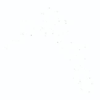 CC=CN1CCCC(n2nc(C(=O)Nc3ccc(Oc4ccn5ncnc5c4)c(Cl)c3)c3c(N)ncnc32)C1